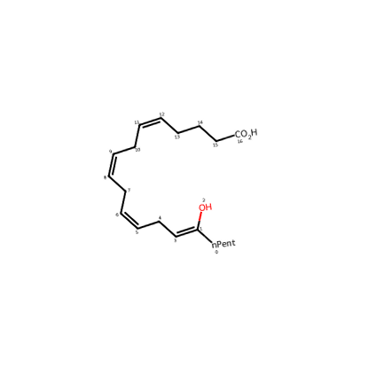 CCCCCC(O)=CC/C=C\C/C=C\C/C=C\CCCC(=O)O